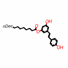 CCCCCCCCCCCCCCCCCC(=O)Oc1cc(O)cc(C=Cc2ccc(O)cc2)c1